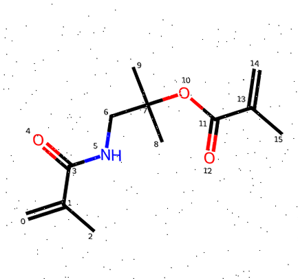 C=C(C)C(=O)NCC(C)(C)OC(=O)C(=C)C